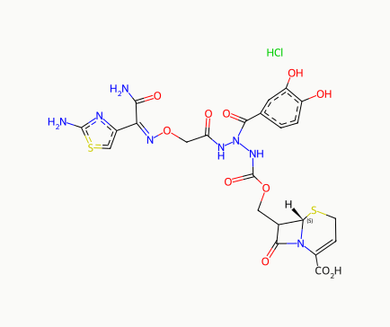 Cl.NC(=O)C(=NOCC(=O)NN(NC(=O)OCC1C(=O)N2C(C(=O)O)=CCS[C@@H]12)C(=O)c1ccc(O)c(O)c1)c1csc(N)n1